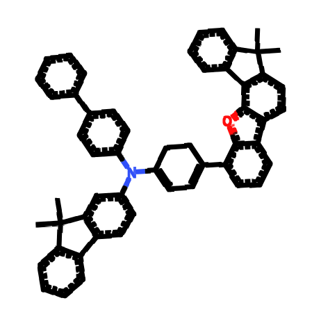 CC1(C)c2ccccc2-c2ccc(N(C3=CC=C(c4cccc5c4oc4c6c(ccc45)C(C)(C)c4ccccc4-6)CC3)c3ccc(-c4ccccc4)cc3)cc21